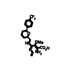 C=C/N=C(NC[C@H]1CCC[C@@H](c2ccc(C(F)(F)F)cc2)O1)\C(OC)=C(/N)C(=O)O